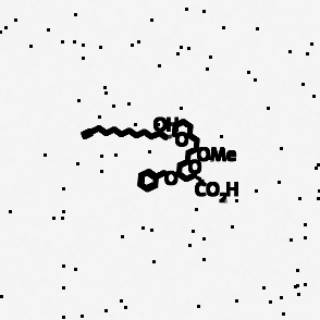 C#CCCCCCCCC[C@H](O)C[C@@H]1CCCC(C[C@H](CC2C[C@H](OCc3ccccc3)C[C@@H](CC(=O)O)O2)OC)O1